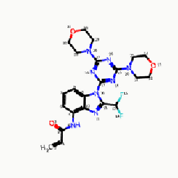 C=CC(=O)Nc1cccc2c1nc(C(F)F)n2-c1nc(N2CCOCC2)nc(N2CCOCC2)n1